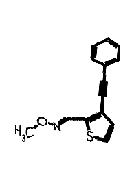 CON=Cc1sccc1C#Cc1ccccc1